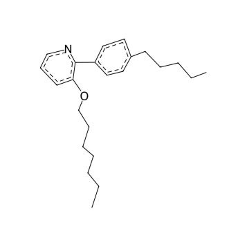 CCCCCCCOc1cccnc1-c1ccc(CCCCC)cc1